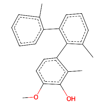 COc1ccc(-c2c(C)cccc2-c2ccccc2C)c(C)c1O